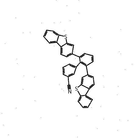 N#Cc1cccc(-c2c(-c3ccc4c(c3)sc3ccccc34)cccc2-c2ccc3c(c2)sc2ccccc23)c1